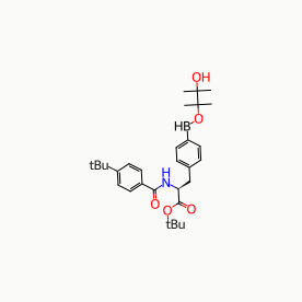 CC(C)(C)OC(=O)[C@H](Cc1ccc(BOC(C)(C)C(C)(C)O)cc1)NC(=O)c1ccc(C(C)(C)C)cc1